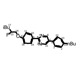 CCCCc1ccc(-c2cnc(-c3ccc(OCC(F)C(C)CC)cc3)nc2)cc1